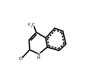 FC(F)(F)C1=CC(Cl)Nc2ccccc21